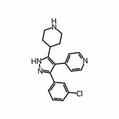 Clc1cccc(-c2n[nH]c(C3CCNCC3)c2-c2ccncc2)c1